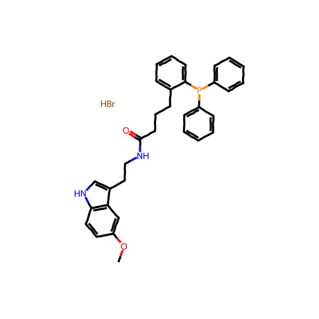 Br.COc1ccc2[nH]cc(CCNC(=O)CCCc3ccccc3P(c3ccccc3)c3ccccc3)c2c1